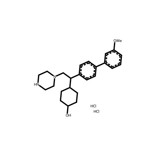 COc1cccc(-c2ccc(C(CN3CCNCC3)C3CCC(O)CC3)cc2)c1.Cl.Cl